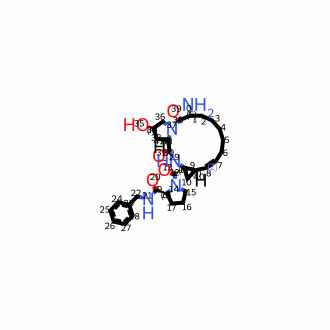 N[C@H]1CCCCC/C=C\[C@@H]2C[C@@]2(C(=O)N2CCC[C@H]2C(=O)NCc2ccccc2)NC(=O)[C@@H]2C[C@@H](O)CN2C1=O